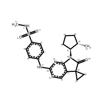 CNS(=O)(=O)c1ccc(Nc2ncc3c(n2)N([C@H]2CCC[C@@H]2C)C(=O)C32CC2)cc1